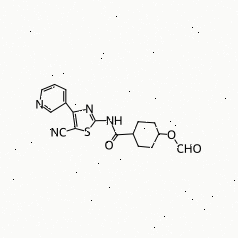 N#Cc1sc(NC(=O)C2CCC(OC=O)CC2)nc1-c1cccnc1